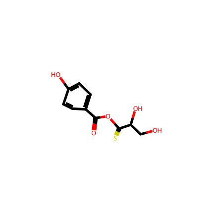 O=C(OC(=S)C(O)CO)c1ccc(O)cc1